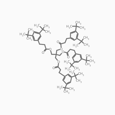 CC(C)(C)c1cc(CCC(=O)OCC(COC(=O)CCc2cc(C(C)(C)C)cc(C(C)(C)C)c2)(COC(=O)CCc2cc(C(C)(C)C)cc(C(C)(C)C)c2)COC(=O)CCc2cc(C(C)(C)C)cc(C(C)(C)C)c2)cc(C(C)(C)C)c1